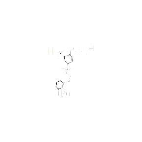 CC(CCC(C)(C)c1ccc(CC(=O)O)c(C(C)(C)S)c1)c1cccc(C(C)(C)C)c1